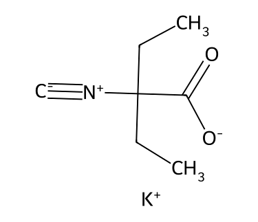 [C-]#[N+]C(CC)(CC)C(=O)[O-].[K+]